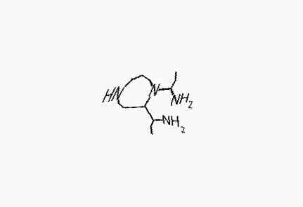 CC(N)C1CNCCN1C(C)N